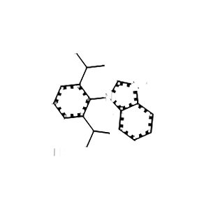 CC(C)c1cccc(C(C)C)c1-n1cnc2ccccc21.Cl